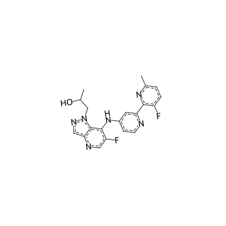 Cc1ccc(F)c(-c2cc(Nc3c(F)cnc4cnn(CC(C)O)c34)ccn2)n1